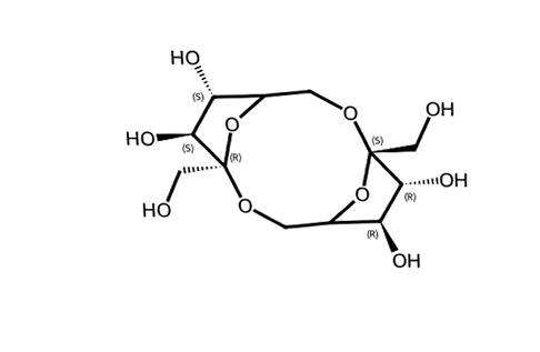 OC[C@]12OCC3O[C@@](CO)(OCC(O1)[C@H](O)[C@H]2O)[C@@H](O)[C@@H]3O